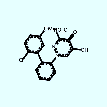 COc1ccc(Cl)c(-c2ccccc2-n2cc(O)c(=O)c(C(=O)O)n2)c1